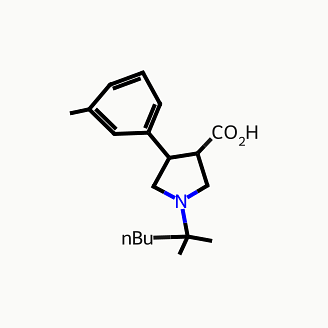 CCCCC(C)(C)N1CC(C(=O)O)C(c2cccc(C)c2)C1